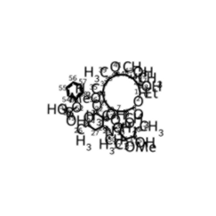 CC[C@H]1OC(=O)[C@H](C)[C@@H](O[C@H]2C[C@@](C)(OC)[C@@H](O)[C@H](C)O2)[C@H](C)[C@@H](O[C@@H]2O[C@H](C)C[C@H](N(C)C)[C@H]2O)[C@](C)(OC)C[C@@H](C)C(=O)[C@H](C)[C@@H](O)[C@]1(C)O.OB(O)Oc1ccccc1